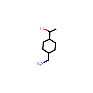 CC(O)C1CCC(CN)CC1